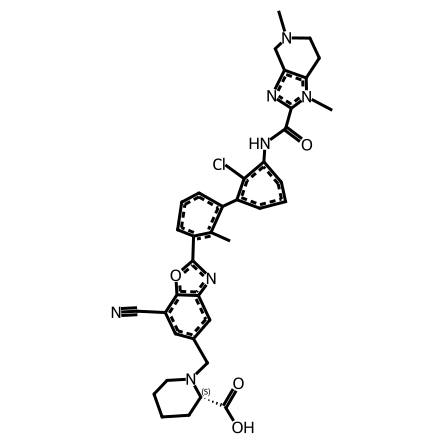 Cc1c(-c2nc3cc(CN4CCCC[C@H]4C(=O)O)cc(C#N)c3o2)cccc1-c1cccc(NC(=O)c2nc3c(n2C)CCN(C)C3)c1Cl